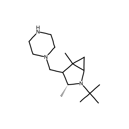 C[C@@H]1C(CN2CCNCC2)C2(C)CC2N1C(C)(C)C